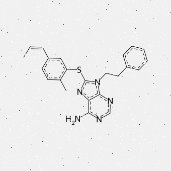 C/C=C\c1ccc(C)c(Sc2nc3c(N)ncnc3n2CCc2ccccc2)c1